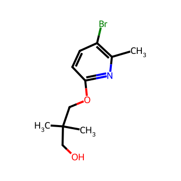 Cc1nc(OCC(C)(C)CO)ccc1Br